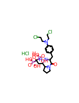 Cl.N[C@@H](Cc1ccc(N(CCCl)CCCl)cc1)C(=O)N1CCCC1CCC(O)(P(=O)(O)O)P(=O)(O)O